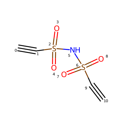 C#CS(=O)(=O)NS(=O)(=O)C#C